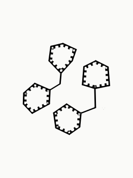 [Mo].c1ccc(Cc2ccccc2)cc1.c1ccc(Cc2ccccc2)cc1